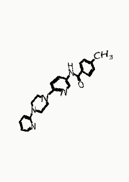 Cc1ccc(C(=O)Nc2ccc(N3CCN(c4ccccn4)CC3)nc2)cc1